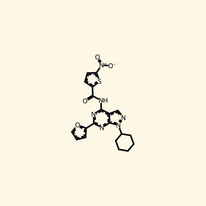 O=C(Nc1nc(-c2ccco2)nc2c1cnn2C1CCCCC1)c1ccc([N+](=O)[O-])s1